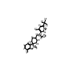 Cc1cccc(C2(N(C)C)CCC(CN(C=O)c3cnc(C(C)(C)C)cc3C)CC2)c1